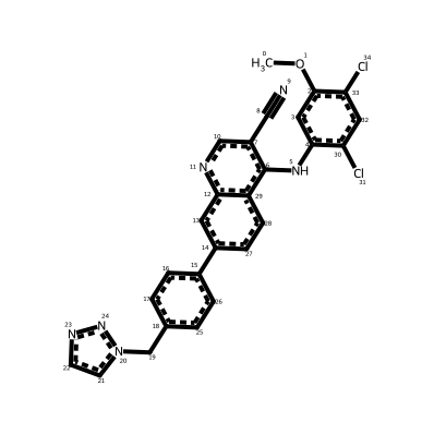 COc1cc(Nc2c(C#N)cnc3cc(-c4ccc(Cn5ccnn5)cc4)ccc23)c(Cl)cc1Cl